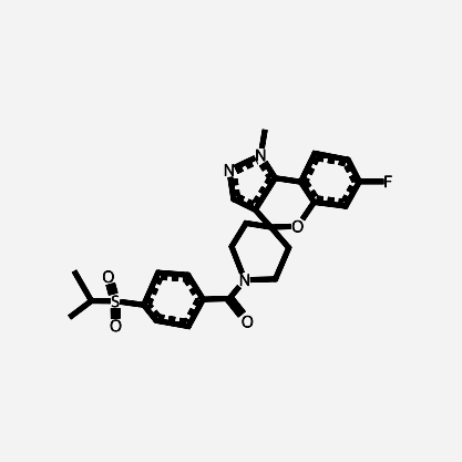 CC(C)S(=O)(=O)c1ccc(C(=O)N2CCC3(CC2)Oc2cc(F)ccc2-c2c3cnn2C)cc1